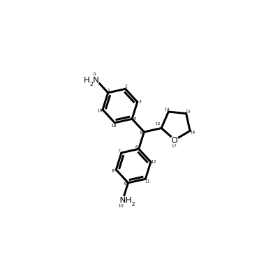 Nc1ccc(C(c2ccc(N)cc2)C2CCCO2)cc1